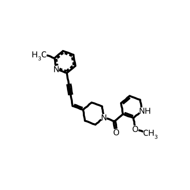 COC1=C(C(=O)N2CCC(=CC#Cc3cccc(C)n3)CC2)C=CCN1